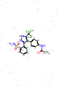 CC(=O)Nc1ccc(-c2c(-c3ccccc3S(N)(=O)=O)n[nH]c2C(F)(F)F)cc1